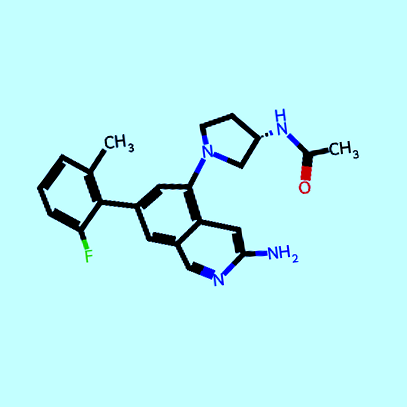 CC(=O)N[C@H]1CCN(c2cc(-c3c(C)cccc3F)cc3cnc(N)cc23)C1